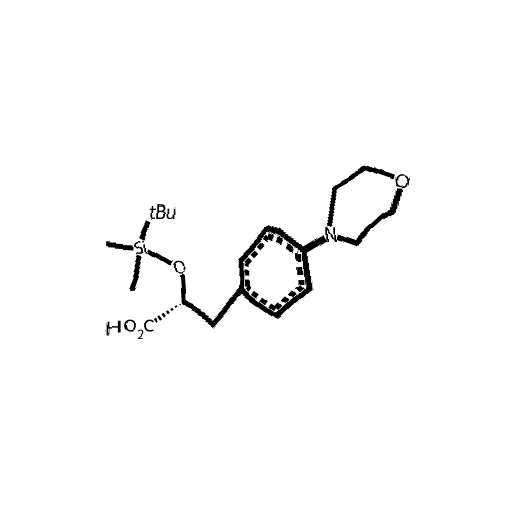 CC(C)(C)[Si](C)(C)O[C@H](Cc1ccc(N2CCOCC2)cc1)C(=O)O